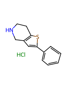 Cl.c1ccc(-c2cc3c(s2)CCNC3)cc1